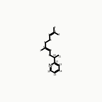 CC(C)=CCC/C(C)=C/CC(C)c1ccccn1